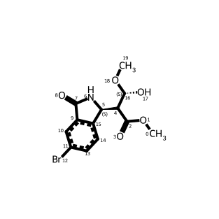 COC(=O)C([C@@H]1NC(=O)c2cc(Br)ccc21)[C@@H](O)OC